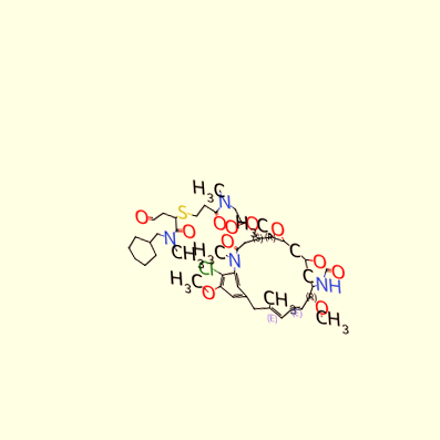 COc1cc2cc(c1Cl)N(C)C(=O)C[C@H](OC(=O)CN(C)C(=O)CCSC(CC=O)C(=O)N(C)CC1CCCCC1)[C@]1(C)OC1CC1CC(NC(=O)O1)[C@H](OC)/C=C/C=C(\C)C2